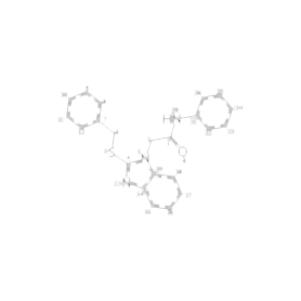 O=C(Cn1c(SCc2ccccc2)nc2ccccc21)Nc1ccccc1